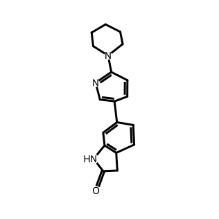 O=C1Cc2ccc(-c3ccc(N4CCCCC4)nc3)cc2N1